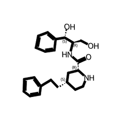 O=C(N[C@H](CO)[C@@H](O)c1ccccc1)[C@H]1C[C@@H](CCc2ccccc2)CCN1